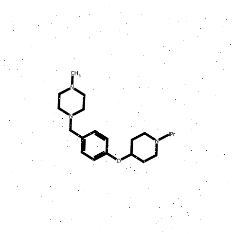 CC(C)N1CCC(Oc2ccc(CN3CCN(C)CC3)cc2)CC1